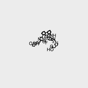 O=C(O)CC1CCN(Cc2nc3c(Nc4cccc(-c5cccc(-c6cnc(CNC[C@@H]7CCC(=O)N7)c(OC(F)F)n6)c5Cl)c4Cl)nccc3s2)C1